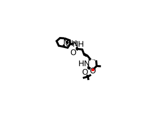 CC(C)C[C@@H](/C=C/CC(=O)NC1CC2CCCC(C1)N2O)NC(=O)OC(C)(C)C